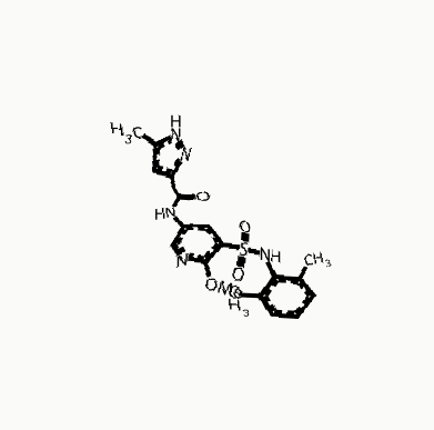 COc1ncc(NC(=O)c2cc(C)[nH]n2)cc1S(=O)(=O)Nc1c(C)cccc1C